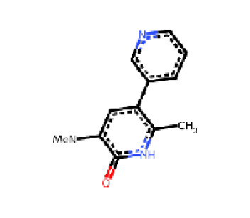 CNc1cc(-c2cccnc2)c(C)[nH]c1=O